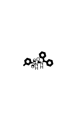 Cc1cccc(S(=O)(=O)NC(=O)NC(c2ccccc2)c2ccccc2)c1